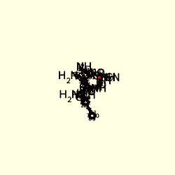 Cc1cc(C#Cc2ccccc2)ccc1C(=O)N[C@@H](CCN)C(=O)N(C)[C@@H]1C(=O)N[C@@H](C)C(=O)N[C@H](C(=O)NCC#N)Cc2ccc(OCCN)c(c2)-c2cc1ccc2OCCN